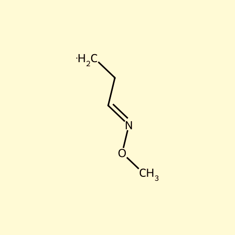 [CH2]CC=NOC